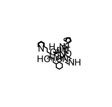 CCC[C@@H](C(=O)N[C@@H](CC1CCCCC1)[C@@H](O)CCCc1ccccn1)N(C(=O)[C@@H](N)Cc1cccs1)C(=O)N1CCNCC1